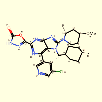 CO[C@H]1CCN(c2nc3nc(-c4n[nH]c(=O)o4)nc(-c4cncc(Cl)c4)c3n2C[C@H]2CC[C@H](C)CC2)[C@H](C)C1